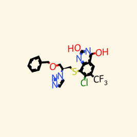 Oc1nc(O)c2cc(C(F)(F)F)c(Cl)c(SC[C@H](COCc3ccccc3)n3ccnn3)c2n1